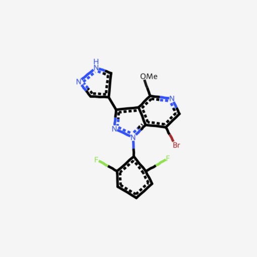 COc1ncc(Br)c2c1c(-c1cn[nH]c1)nn2-c1c(F)cccc1F